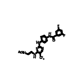 CC(=O)NCCNc1nc(Nc2ccc(NC(=O)c3cc(F)cc(F)c3)cc2)ncc1C(F)(F)F